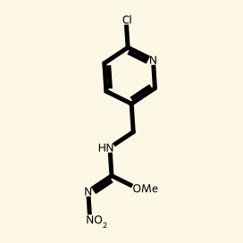 CO/C(=N\[N+](=O)[O-])NCc1ccc(Cl)nc1